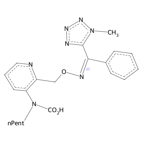 CCCCCN(C(=O)O)c1cccnc1CO/N=C(/c1ccccc1)c1nnnn1C